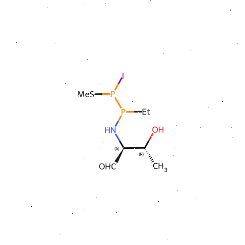 CCP(N[C@H](C=O)[C@@H](C)O)P(I)SC